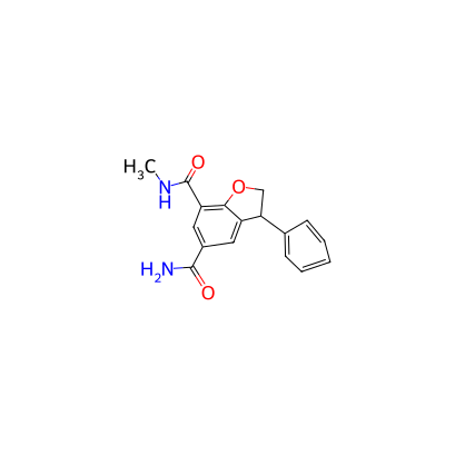 CNC(=O)c1cc(C(N)=O)cc2c1OCC2c1ccccc1